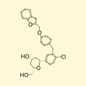 OC[C@@H]1C[C@H](O)C[C@H](c2ccc(Cl)c(Cc3ccc(OCc4cc5ccccc5o4)cc3)c2)O1